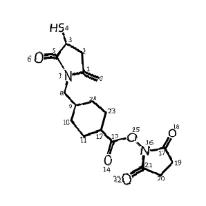 C=C1CC(S)C(=O)N1CC1CCC(C(=O)ON2C(=O)CCC2=O)CC1